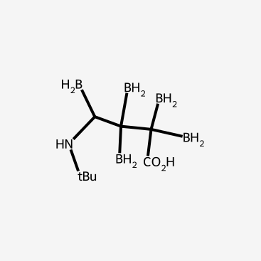 BC(NC(C)(C)C)C(B)(B)C(B)(B)C(=O)O